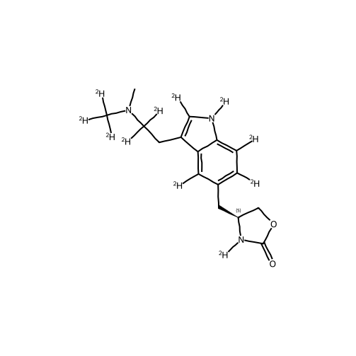 [2H]c1c(C[C@H]2COC(=O)N2[2H])c([2H])c2c(CC([2H])([2H])N(C)C([2H])([2H])[2H])c([2H])n([2H])c2c1[2H]